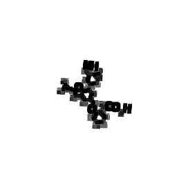 NCc1cccc(-c2cc(COc3ccccc3CC(=O)O)cc3cc(C4CC4)oc23)c1